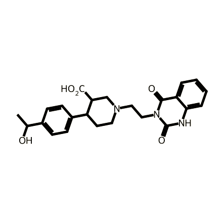 CC(O)c1ccc(C2CCN(CCn3c(=O)[nH]c4ccccc4c3=O)CC2C(=O)O)cc1